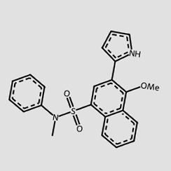 COc1c(-c2ccc[nH]2)cc(S(=O)(=O)N(C)c2ccccc2)c2ccccc12